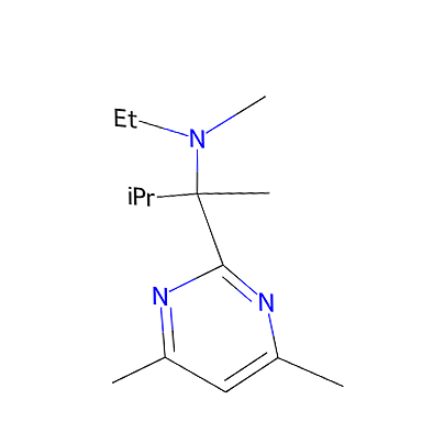 CCN(C)C(C)(c1nc(C)cc(C)n1)C(C)C